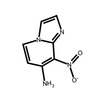 Nc1ccn2ccnc2c1[N+](=O)[O-]